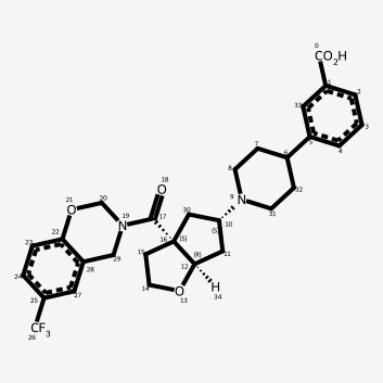 O=C(O)c1cccc(C2CCN([C@@H]3C[C@H]4OCC[C@@]4(C(=O)N4COc5ccc(C(F)(F)F)cc5C4)C3)CC2)c1